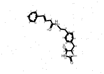 O=C(C/C=C/c1ccccc1)NCCc1ccc(CC2SC(=O)NC2=O)cc1